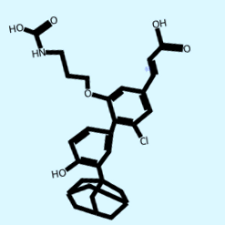 O=C(O)/C=C/c1cc(Cl)c(-c2ccc(O)c(C34CC5CC(CC(C5)C3)C4)c2)c(OCCCNC(=O)O)c1